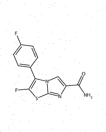 NC(=O)c1cn2c(-c3ccc(F)cc3)c(F)sc2n1